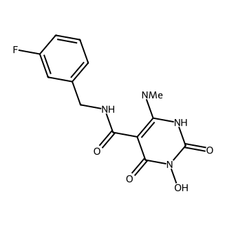 CNc1[nH]c(=O)n(O)c(=O)c1C(=O)NCc1cccc(F)c1